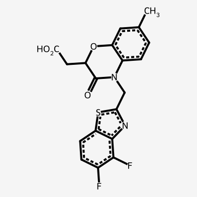 Cc1ccc2c(c1)OC(CC(=O)O)C(=O)N2Cc1nc2c(F)c(F)ccc2s1